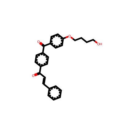 O=C(/C=C/c1ccccc1)c1ccc(C(=O)c2ccc(OCCCCO)cc2)cc1